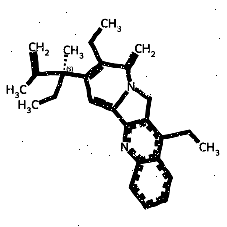 C=C1C(CC)=C([C@@](C)(CC)C(=C)C)C=C2c3nc4ccccc4c(CC)c3CN12